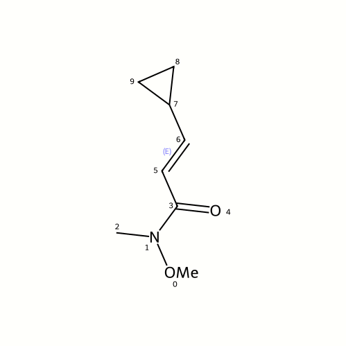 CON(C)C(=O)/C=C/C1CC1